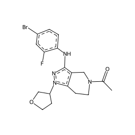 CC(=O)N1CCc2c(c(Nc3ccc(Br)cc3F)nn2C2CCOC2)C1